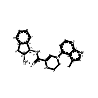 Cc1c[nH]c2nccc(N3C=C(C(=O)N[C@@H]4c5ccccc5C[C@@H]4N)SCC3)c12